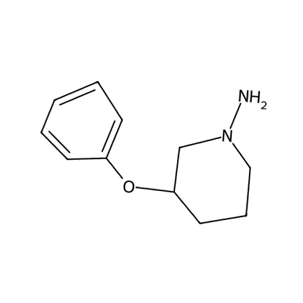 NN1CCCC(Oc2ccccc2)C1